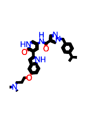 CC(C)c1ccc(Cn2cc(C(=O)Nc3c[nH]c(=O)c(-c4cc5cc(OCCCN(C)C)ccc5[nH]4)c3)cn2)cc1